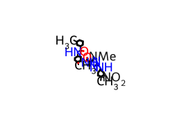 CNc1nc(Nc2ccc(C)c([N+](=O)[O-])c2)ncc1C(=O)Nc1cc(NC(=O)c2cccc(C)c2)ccc1C